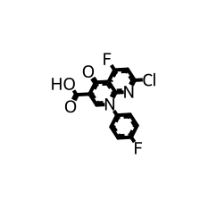 O=C(O)c1cn(-c2ccc(F)cc2)c2nc(Cl)cc(F)c2c1=O